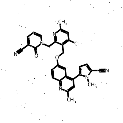 Cc1cc(Cl)c(COc2ccc3nc(C)cc(-c4ccc(C#N)n4C)c3c2)c(Cn2cccc(C#N)c2=O)n1